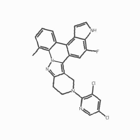 Cc1cccc2c3c4cc[nH]c4c(F)cc3c3c4c(nn3c12)CCN(c1ncc(Cl)cc1Cl)C4